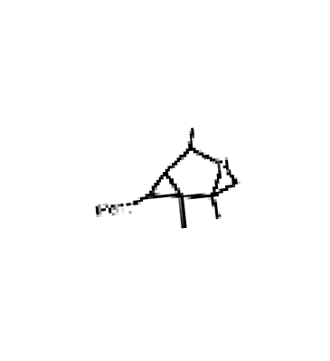 CCCC(C)C1C2C(C)N3CC3(C)C12C